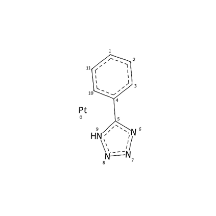 [Pt].c1ccc(-c2nnn[nH]2)cc1